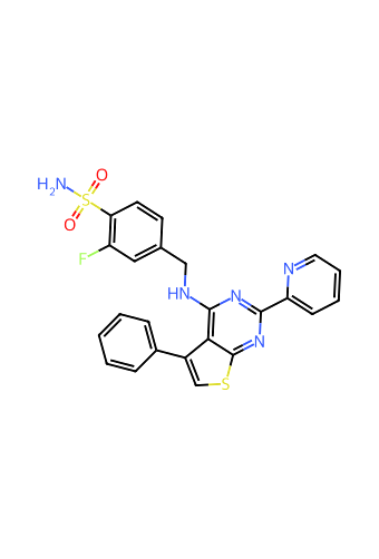 NS(=O)(=O)c1ccc(CNc2nc(-c3ccccn3)nc3scc(-c4ccccc4)c23)cc1F